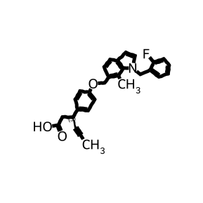 CC#C[C@@H](CC(=O)O)c1ccc(OCc2ccc3ccn(Cc4ccccc4F)c3c2C)cc1